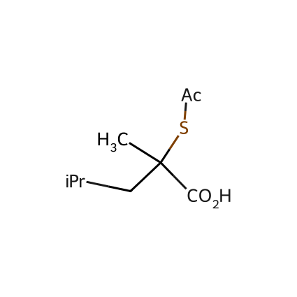 CC(=O)SC(C)(CC(C)C)C(=O)O